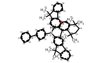 Cc1ccc2c(c1-c1cc3c(cc1N(c1ccc(-c4ccccc4)cc1)c1ccc4c(c1)C(C)(C)c1ccccc1-4)C(C)(C)c1ccccc1-3)C(C)(C)CCC2(C)C